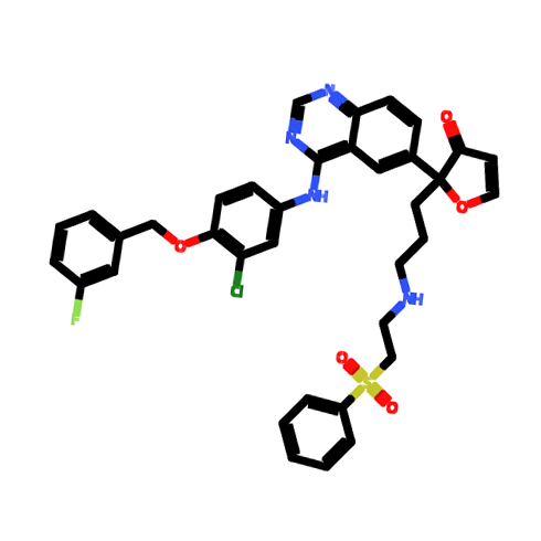 O=C1C=COC1(CCCNCCS(=O)(=O)c1ccccc1)c1ccc2ncnc(Nc3ccc(OCc4cccc(F)c4)c(Cl)c3)c2c1